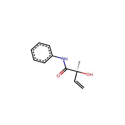 C=C[C@](C)(O)C(=O)Nc1ccccc1